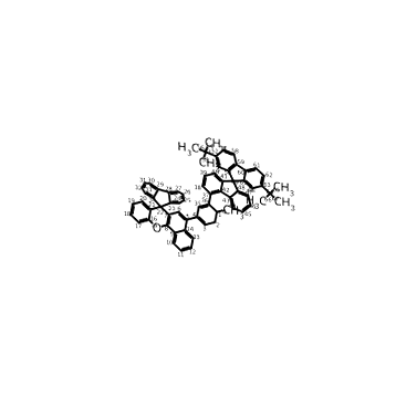 CC1CC=C(c2cc3c(c4ccccc24)Oc2ccccc2C32c3ccccc3-c3ccccc32)C=C1c1cccc2c1-c1ccccc1C21c2cc(C(C)(C)C)ccc2-c2ccc(C(C)(C)C)cc21